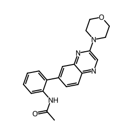 CC(=O)Nc1ccccc1-c1ccc2ncc(N3CCOCC3)nc2c1